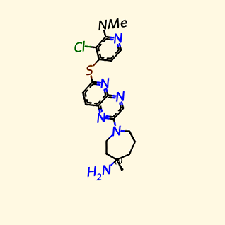 CNc1nccc(Sc2ccc3nc(N4CCC[C@](C)(N)CC4)cnc3n2)c1Cl